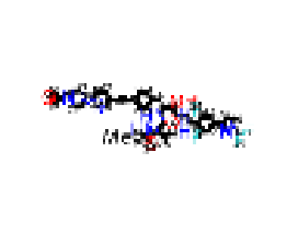 COC(=O)NC(C(=O)N[C@@H](Cc1ccc(C#Cc2ccc(N3CCN(C4COC4)CC3)nc2)cc1)[C@@H](O)CNCc1c(F)cc(-c2ccn(C(F)F)n2)cc1F)C(C)(C)C(F)(F)F